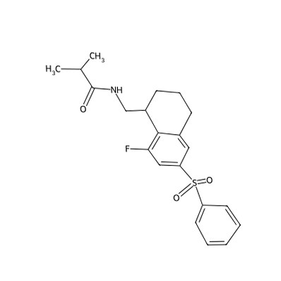 CC(C)C(=O)NCC1CCCc2cc(S(=O)(=O)c3ccccc3)cc(F)c21